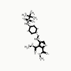 COC(=O)c1scc(NC[C@H]2CC[C@H](NS(=O)(=O)C(C)(C)C)CC2)c1C(=O)OC